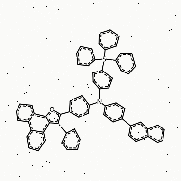 c1ccc(-c2c(-c3ccc(N(c4ccc(-c5ccc6ccccc6c5)cc4)c4ccc(S(c5ccccc5)(c5ccccc5)c5ccccc5)cc4)cc3)oc3c4ccccc4c4ccccc4c23)cc1